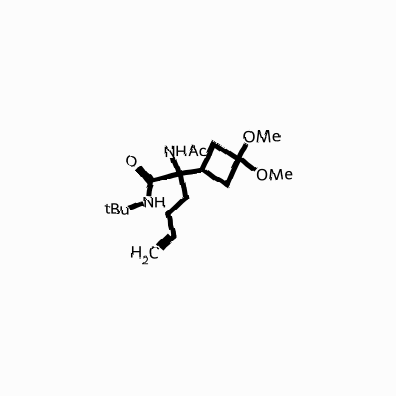 C=CCCC(NC(C)=O)(C(=O)NC(C)(C)C)C1CC(OC)(OC)C1